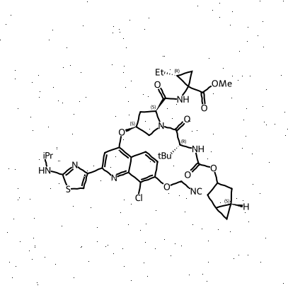 [C-]#[N+]COc1ccc2c(O[C@H]3C[C@@H](C(=O)NC4(C(=O)OC)C[C@H]4CC)N(C(=O)[C@H](NC(=O)OC4CC5C[C@H]5C4)C(C)(C)C)C3)cc(-c3csc(NC(C)C)n3)nc2c1Cl